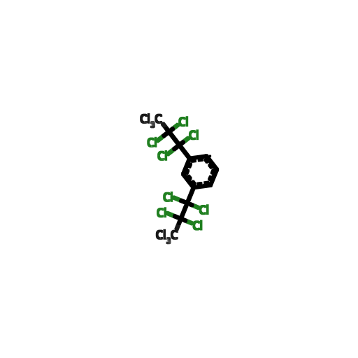 ClC(Cl)(Cl)C(Cl)(Cl)C(Cl)(Cl)c1[c]ccc(C(Cl)(Cl)C(Cl)(Cl)C(Cl)(Cl)Cl)c1